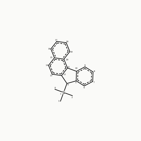 C[Si](C)(C)C1c2ccccc2-c2c1ccc1ccccc21